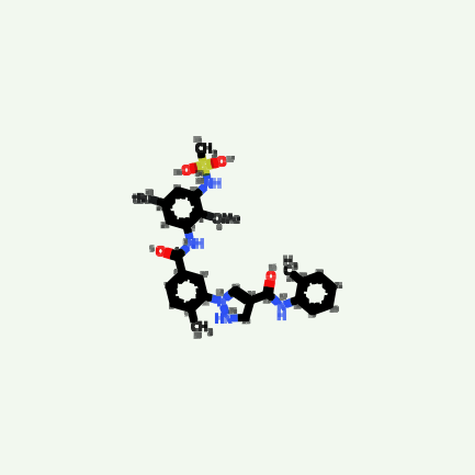 COc1c(NC(=O)c2ccc(C)c(N3C=C(C(=O)Nc4ccccc4C)CN3)c2)cc(C(C)(C)C)cc1NS(C)(=O)=O